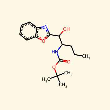 CCCC(NC(=O)OC(C)(C)C)C(O)c1nc2ccccc2o1